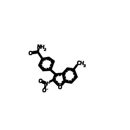 Cc1ccc2oc([N+](=O)[O-])c(-c3ccc(C(N)=O)cc3)c2c1